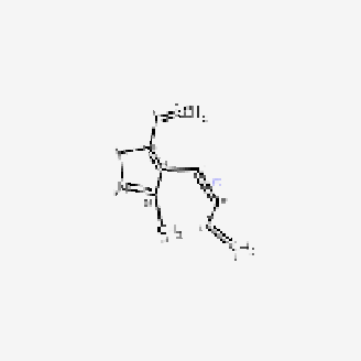 C=C/C=C\C1=C(C=C)CN=C1C